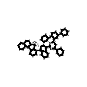 CC1(C)c2ccc3ccccc3c2-c2cccc(-c3ccc(-c4nc(-c5ccccc5)cc(-c5cc(-c6ccccc6)ccc5-c5ccccc5)n4)c4ccccc34)c21